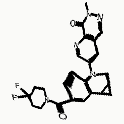 Cn1ncc2cc(N3CC4CC4c4cc(C(=O)N5CCC(F)(F)CC5)ccc43)cnc2c1=O